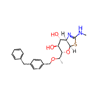 CNC1=N[C@@H]2[C@@H](O)[C@H](O)[C@@H]([C@H](C)OCc3ccc(Cc4ccccc4)cc3)O[C@@H]2S1